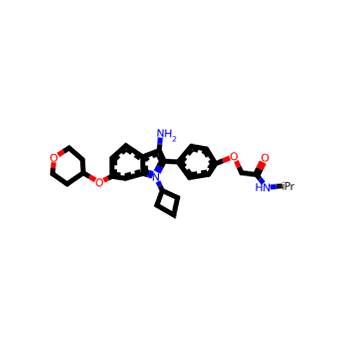 CC(C)NC(=O)COc1ccc(-c2c(N)c3ccc(OC4CCOCC4)cc3n2C2CCC2)cc1